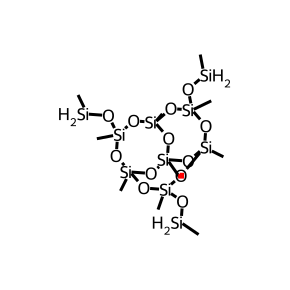 C[SiH2]O[Si]1(C)O[Si]2(C)O[Si](C)(O[SiH2]C)O[Si]3(C)O[Si](C)(O[SiH2]C)O[Si](C)(O1)O[Si](C)(O2)O3